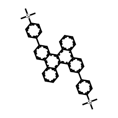 C[Si](C)(C)c1ccc(-c2ccc3c4ccccc4c4c5cc(-c6ccc([Si](C)(C)C)cc6)ccc5c5ccccc5c4c3c2)cc1